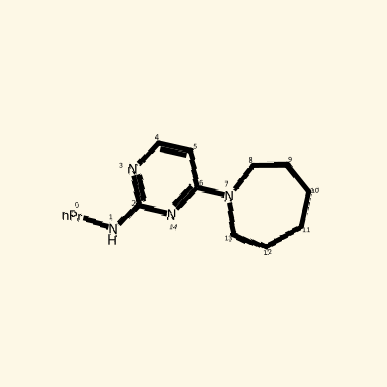 [CH2]CCNc1nccc(N2CCCCCC2)n1